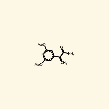 C=C(C(N)=O)c1cc(OC)nc(OC)c1